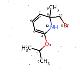 CC(C)OC1=CC=CC(C)(CBr)N1